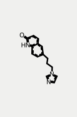 O=c1ccc2cc(CCCn3ccnc3)ccc2[nH]1